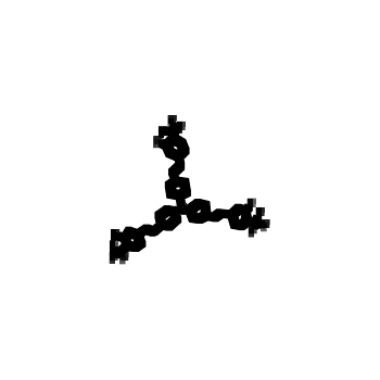 Fc1cc(/C=C/c2ccc(N(c3ccc(/C=C/c4ccc(C(F)(F)F)c(F)c4)cc3)c3ccc(/C=C/c4ccc(C(F)(F)F)c(F)c4)cc3)cc2)ccc1C(F)(F)F